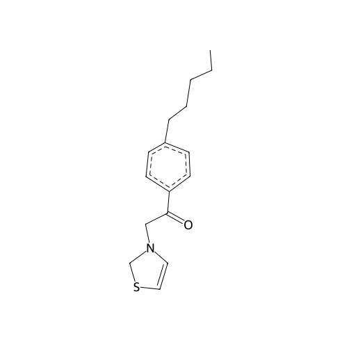 CCCCCc1ccc(C(=O)CN2C=CSC2)cc1